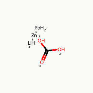 O=C(O)O.[LiH].[PbH2].[Zn]